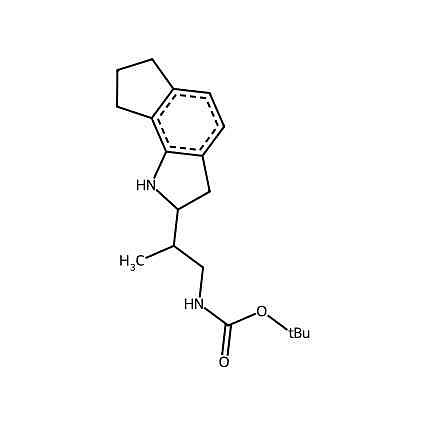 CC(CNC(=O)OC(C)(C)C)C1Cc2ccc3c(c2N1)CCC3